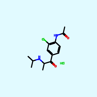 CC(=O)Nc1ccc(C(=O)C(C)NC(C)C)cc1Cl.Cl